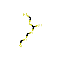 SCSCSC(S)SCS